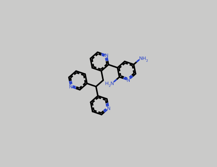 Nc1cnc(N)c(-c2ncccc2CC(c2cccnc2)c2cccnc2)c1